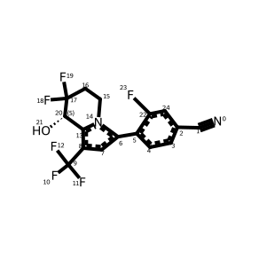 N#Cc1ccc(-c2cc(C(F)(F)F)c3n2CCC(F)(F)[C@H]3O)c(F)c1